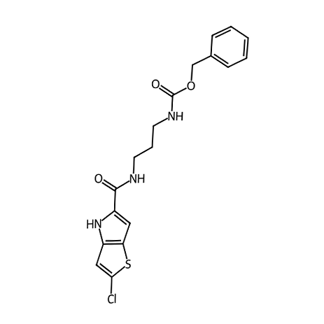 O=C(NCCCNC(=O)c1cc2sc(Cl)cc2[nH]1)OCc1ccccc1